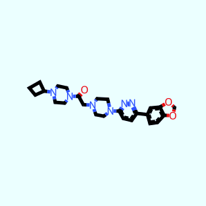 O=C(CN1CCN(c2ccc(-c3ccc4c(c3)OCO4)nn2)CC1)N1CCN(C2CCC2)CC1